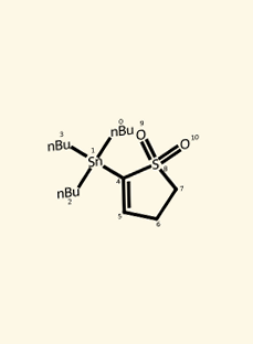 CCC[CH2][Sn]([CH2]CCC)([CH2]CCC)[C]1=CCCS1(=O)=O